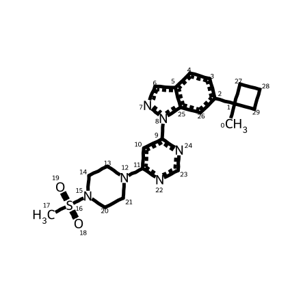 CC1(c2ccc3cnn(-c4cc(N5CCN(S(C)(=O)=O)CC5)ncn4)c3c2)CCC1